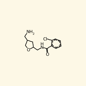 NCC1COC(CNC(=O)c2ccccc2Cl)C1